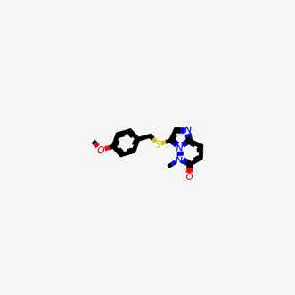 COc1ccc(CSc2cnc3ccc(=O)n(C)n23)cc1